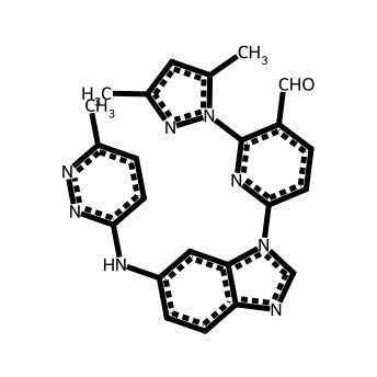 Cc1ccc(Nc2ccc3ncn(-c4ccc(C=O)c(-n5nc(C)cc5C)n4)c3c2)nn1